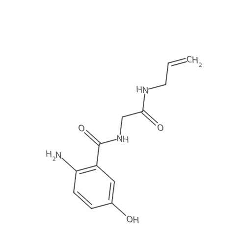 C=CCNC(=O)CNC(=O)c1cc(O)ccc1N